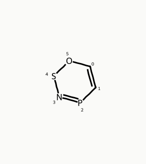 C1=CP=NSO1